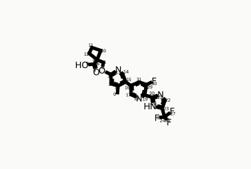 Cc1cc(OCC2(C(=O)O)CCC2)ncc1-c1cnc(-c2ncc(C(F)(F)F)[nH]2)c(F)c1